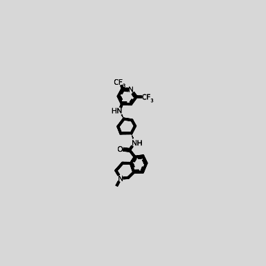 CN1CCc2c(cccc2C(=O)N[C@H]2CC[C@@H](Nc3cc(C(F)(F)F)nc(C(F)(F)F)c3)CC2)C1